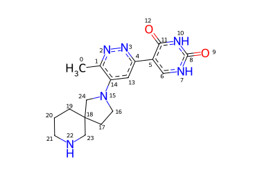 Cc1nnc(-c2c[nH]c(=O)[nH]c2=O)cc1N1CCC2(CCCNC2)C1